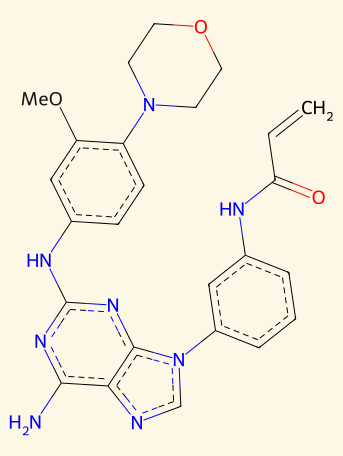 C=CC(=O)Nc1cccc(-n2cnc3c(N)nc(Nc4ccc(N5CCOCC5)c(OC)c4)nc32)c1